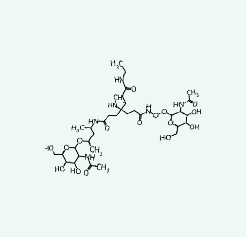 CCNC(=O)CCC(CCC(=O)NOOC1OC(CO)C(O)C(O)C1NC(C)=O)(CCC(=O)NC(C)CC(C)OC1OC(CO)C(O)C(O)C1NC(C)=O)NC